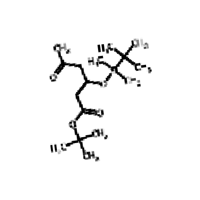 CC(=O)CC(CC(=O)OC(C)(C)C)O[Si](C)(C)C(C)(C)C